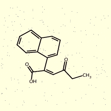 CCC(=O)/C=C(/C(=O)O)c1cccc2ccccc12